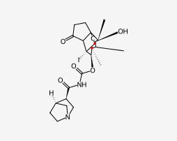 CC1C[C@@H](OC(=O)NC(=O)[C@H]2CN3CC[C@@H]2C3)[C@@]2(I)C3C(=O)CCC3(CC[C@H]2C)[C@@H](C)[C@@H]1O